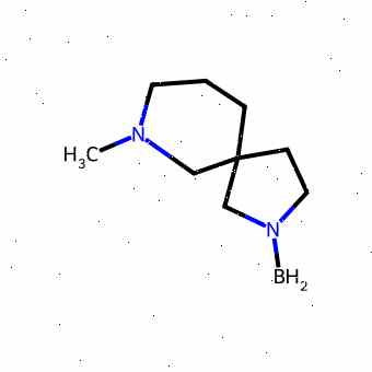 BN1CCC2(CCCN(C)C2)C1